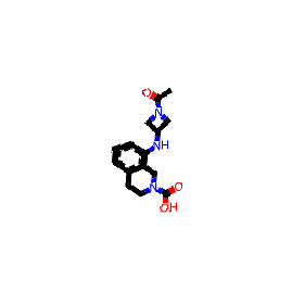 CC(=O)N1CC(Nc2cccc3c2CN(C(=O)O)CC3)C1